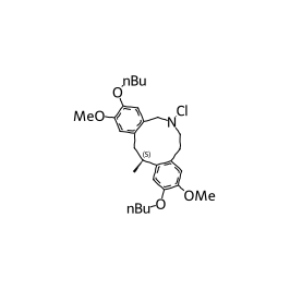 CCCCOc1cc2c(cc1OC)C[C@H](C)c1cc(OCCCC)c(OC)cc1CCN(Cl)C2